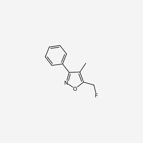 Cc1c(-c2ccccc2)noc1CF